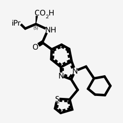 CC(C)C[C@H](NC(=O)c1ccc2c(c1)nc(Cc1cccs1)n2CC1CCCCC1)C(=O)O